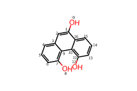 Oc1cc2cccc(O)c2c2c(O)cccc12